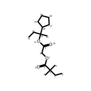 CCC(C)(C)C(=O)OCC(=O)OC(C)(CC)C1CCCC1